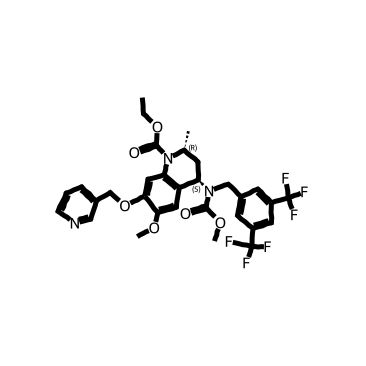 CCOC(=O)N1c2cc(OCc3cccnc3)c(OC)cc2[C@@H](N(Cc2cc(C(F)(F)F)cc(C(F)(F)F)c2)C(=O)OC)C[C@H]1C